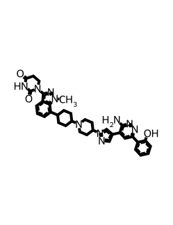 Cn1nc(N2CCC(=O)NC2=O)c2cccc(C3CCC(N4CCC(n5cc(-c6cc(-c7ccccc7O)nnc6N)cn5)CC4)CC3)c21